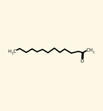 CCCCCCCCCCC[CH]C(C)=O